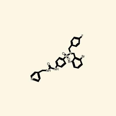 O=C(NCc1ccncc1)Nc1ccc(S(=O)(=O)N(Cc2ccc(F)cc2)Cc2c(Br)cccc2Br)cc1